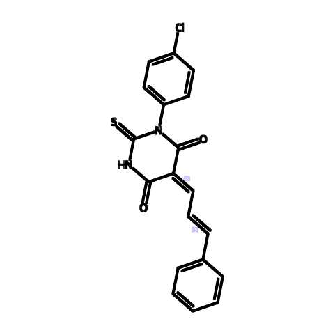 O=C1NC(=S)N(c2ccc(Cl)cc2)C(=O)/C1=C/C=C/c1ccccc1